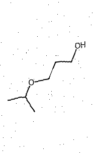 CC(C)OCCCO